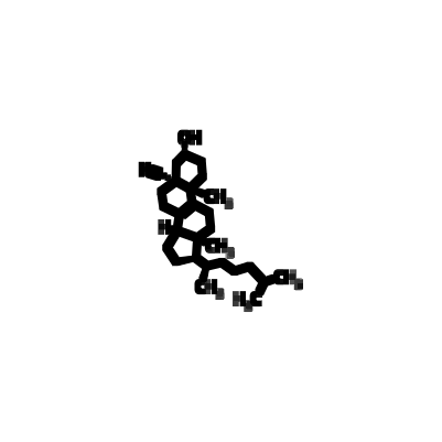 CC(C)CCC[C@@H](C)[C@H]1CC[C@H]2C3=C(CC[C@]12C)[C@@]1(C)CC[C@@H](O)C[C@]1(C#N)CC3